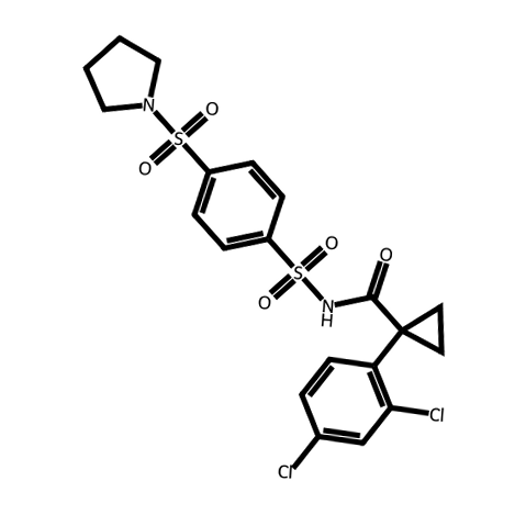 O=C(NS(=O)(=O)c1ccc(S(=O)(=O)N2CCCC2)cc1)C1(c2ccc(Cl)cc2Cl)CC1